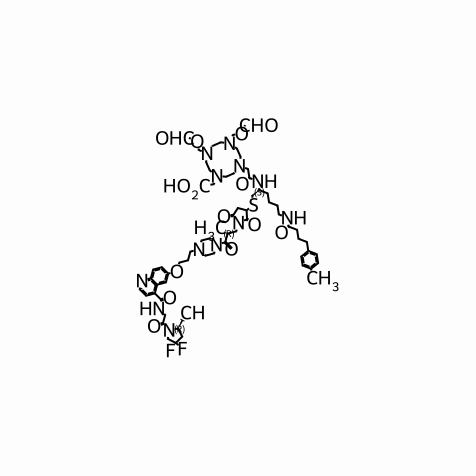 C#C[C@H]1CC(F)(F)CN1C(=O)CNC(=O)c1ccnc2ccc(OCCCN3CCN(C(=O)[C@H](C)CN4C(=O)CC(SC[C@H](CCCCNC(=O)CCCc5ccc(C)cc5)NC(=O)CN5CCN(COC=O)CCN(COC=O)CCN(CC(=O)O)CC5)C4=O)CC3)cc12